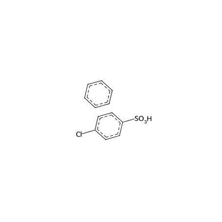 O=S(=O)(O)c1ccc(Cl)cc1.c1ccccc1